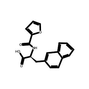 O=C(N[C@@H](Cc1ccc2ccccc2c1)C(=O)O)c1ccco1